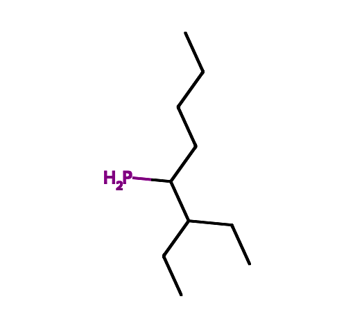 CCCCC(P)C(CC)CC